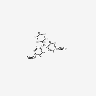 COc1ccc(P(c2ccc(OC)cc2)C2CCCCC2)cc1